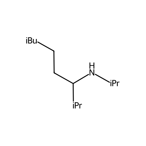 CCC(C)CCC(NC(C)C)C(C)C